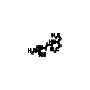 CCC(CC)NCCCNC(=N)N